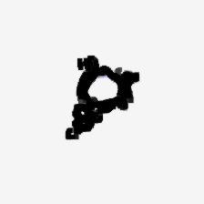 CCCC1[C@@H](C)C/C=C/[C@H](O)[C@@H]2CC[C@H]2CN2C[C@@]3(CCCc4cc(Cl)ccc43)COc3ccc(cc32)C(=O)NS1(=O)=O